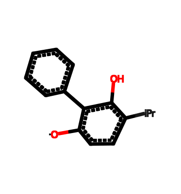 CC(C)c1ccc([O])c(-c2ccccc2)c1O